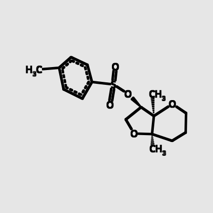 Cc1ccc(S(=O)(=O)O[C@@H]2CO[C@]3(C)CCCO[C@]23C)cc1